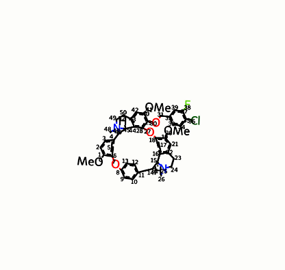 COc1ccc2cc1Oc1ccc(cc1)C[C@H]1c3cc(c(OC)cc3CCN1C)Oc1c(OCc3ccc(Cl)c(F)c3)c(OC)cc3c1[C@H](C2)N(C)CC3